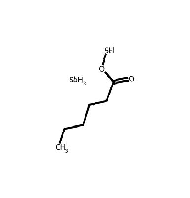 CCCCCC(=O)OS.[SbH3]